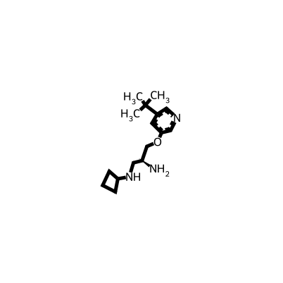 CC(C)(C)c1cncc(OC[C@@H](N)CNC2CCC2)c1